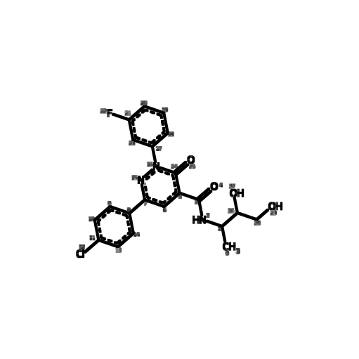 CC(NC(=O)c1cc(-c2ccc(Cl)cc2)nn(-c2cccc(F)c2)c1=O)C(O)CO